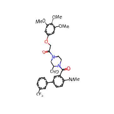 CNc1ccc(-c2cccc(C(F)(F)F)c2)cc1C(=O)N1CCN(C(=O)COc2cc(OC)c(OC)c(OC)c2)CC1C=O